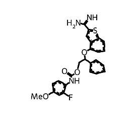 COc1ccc(NC(=O)OCC(Oc2cccc3sc(C(=N)N)cc23)c2ccccc2)c(F)c1